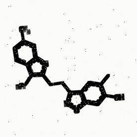 CCCc1c(CCc2noc3cc(O)c(C)cc23)sc2cc(C(F)(F)F)ccc12